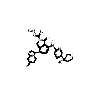 CC(C)(C)OC(=O)N1Cc2c(-c3cnc4cc(F)ccn34)ccc(Nc3ccc([C@]4(O)CCOC4)cn3)c2C1=O